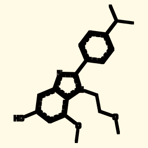 COCCn1c(-c2ccc(C(C)C)cc2)nc2cc(O)cc(OC)c21